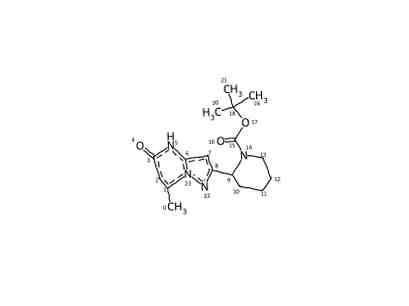 Cc1cc(=O)[nH]c2cc(C3CCCCN3C(=O)OC(C)(C)C)nn12